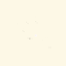 COC(=O)/C=C/c1c(N)nc(C)nc1NF